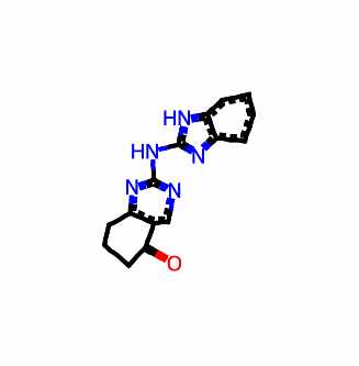 O=C1CCCc2nc(Nc3nc4ccccc4[nH]3)ncc21